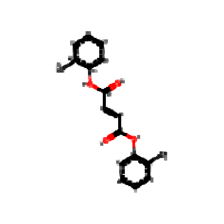 CCc1ccccc1OC(=O)/C=C/C(=O)Oc1ccccc1CC